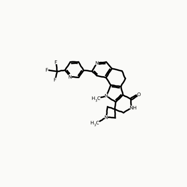 CN1CC2(CNC(=O)c3c4c(n(C)c32)-c2cc(-c3ccc(C(F)(F)F)nc3)ncc2CC4)C1